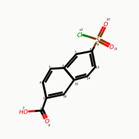 O=C(O)c1ccc2cc(S(=O)(=O)Cl)ccc2c1